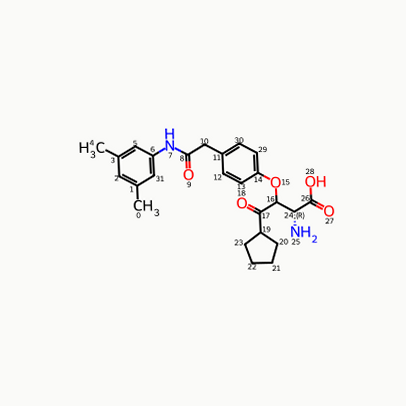 Cc1cc(C)cc(NC(=O)Cc2ccc(OC(C(=O)C3CCCC3)[C@@H](N)C(=O)O)cc2)c1